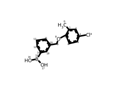 Cc1cc(Cl)ccc1OCc1cccc(B(O)O)c1